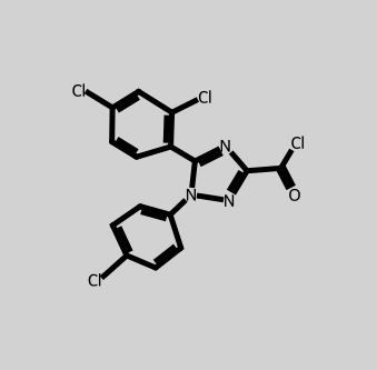 O=C(Cl)c1nc(-c2ccc(Cl)cc2Cl)n(-c2ccc(Cl)cc2)n1